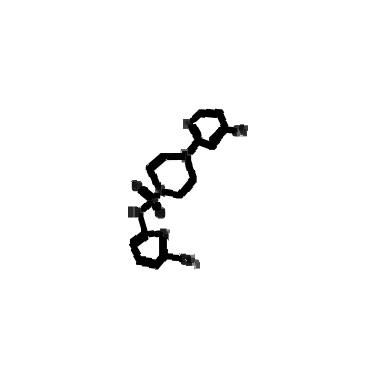 Cc1cccc(NS(=O)(=O)N2CCN(c3cc(C#N)ccn3)CC2)n1